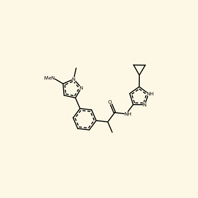 CNc1cc(-c2cccc(C(C)C(=O)Nc3cc(C4CC4)[nH]n3)c2)nn1C